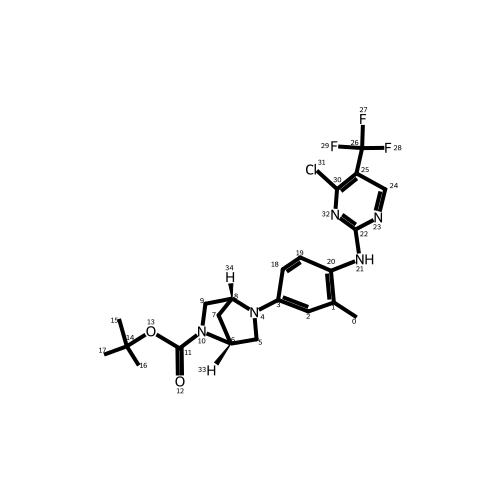 Cc1cc(N2C[C@H]3C[C@@H]2CN3C(=O)OC(C)(C)C)ccc1Nc1ncc(C(F)(F)F)c(Cl)n1